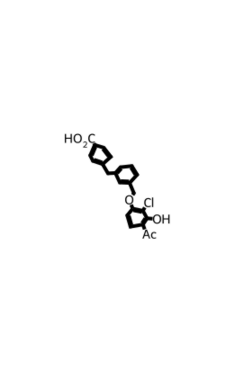 CC(=O)c1ccc(OCc2cccc(Cc3ccc(C(=O)O)cc3)c2)c(Cl)c1O